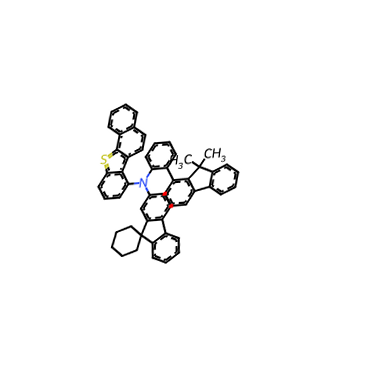 CC1(C)c2ccccc2-c2cccc(-c3ccccc3N(c3ccc4c(c3)C3(CCCCC3)c3ccccc3-4)c3cccc4sc5c6ccccc6ccc5c34)c21